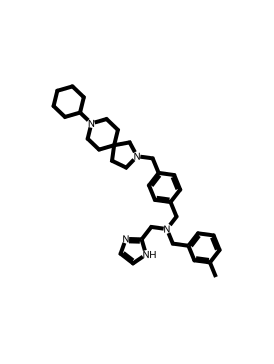 Cc1cccc(CN(Cc2ccc(CN3CCC4(CCN(C5CCCCC5)CC4)C3)cc2)Cc2ncc[nH]2)c1